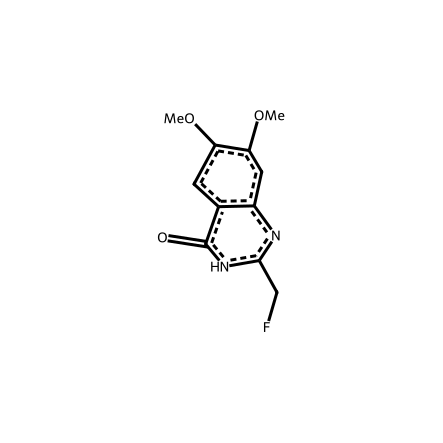 COc1cc2nc(CF)[nH]c(=O)c2cc1OC